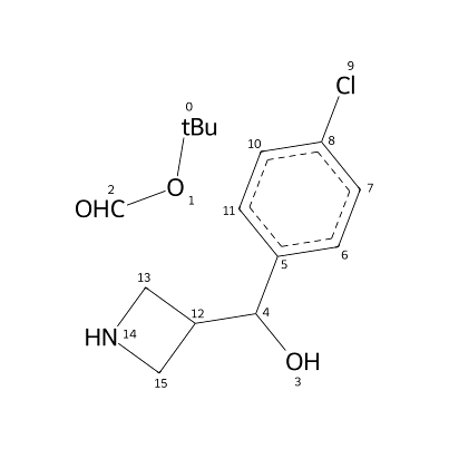 CC(C)(C)OC=O.OC(c1ccc(Cl)cc1)C1CNC1